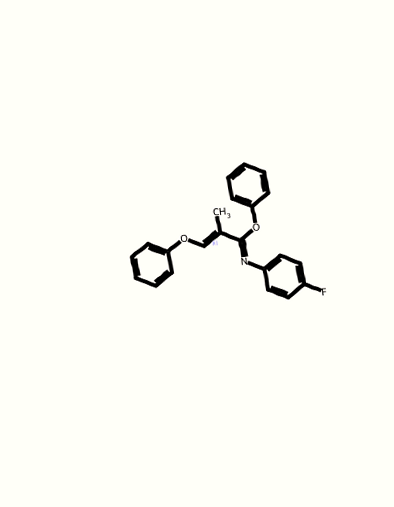 C/C(=C\Oc1ccccc1)C(=Nc1ccc(F)cc1)Oc1ccccc1